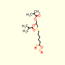 C=C(C)C(=O)OCC(CSCCCCCC(OP=O)P=O)OC(=O)C(=C)C